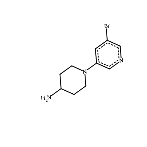 NC1CCN(c2cncc(Br)c2)CC1